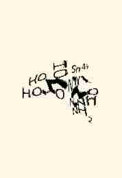 C[n+]1cn([C@@H]2O[C@H](CO)[C@@H](O)[C@H]2O)c2nc(N)[nH]c(=O)c21.[Sn+4]